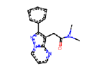 CN(C)C(=O)Cc1c(-c2ccccc2)nn2cccnc12